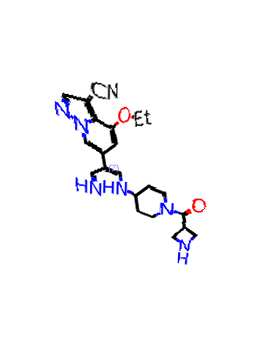 CCOc1cc(/C(C=N)=C/NC2CCN(C(=O)C3CNC3)CC2)cn2ncc(C#N)c12